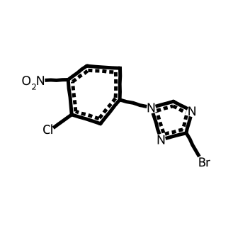 O=[N+]([O-])c1ccc(-n2cnc(Br)n2)cc1Cl